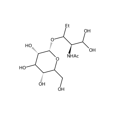 CCC(O[C@@H]1OC(CO)[C@H](O)C(O)[C@@H]1O)[C@H](NC(C)=O)C(O)O